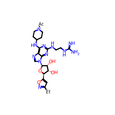 CCc1cc([C@H]2O[C@@H](n3cnc4c(NC5CCN(C(C)=O)CC5)nc(NCCNC(=N)N)nc43)[C@H](O)[C@@H]2O)on1